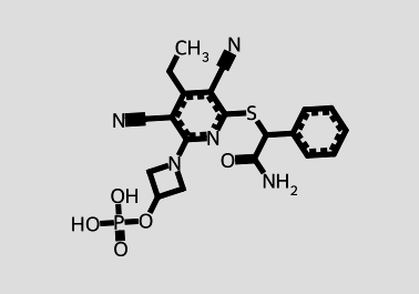 CCc1c(C#N)c(SC(C(N)=O)c2ccccc2)nc(N2CC(OP(=O)(O)O)C2)c1C#N